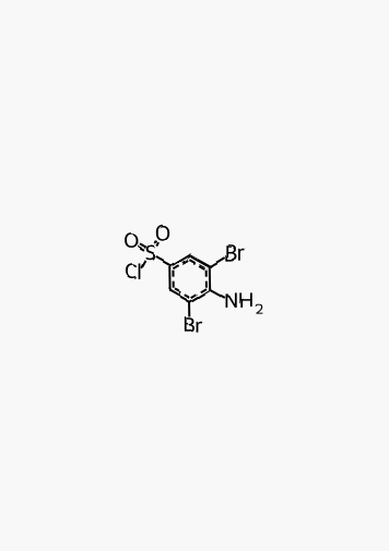 Nc1c(Br)cc(S(=O)(=O)Cl)cc1Br